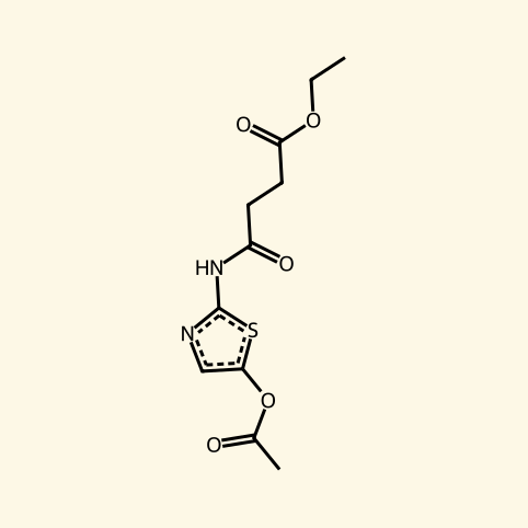 CCOC(=O)CCC(=O)Nc1ncc(OC(C)=O)s1